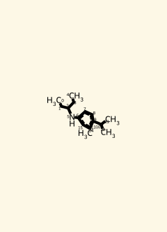 CCC(CC)Nc1ccc(C(C)C)c(C)c1